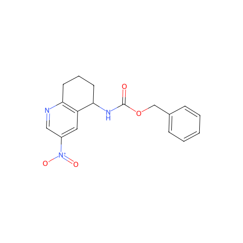 O=C(NC1CCCc2ncc([N+](=O)[O-])cc21)OCc1ccccc1